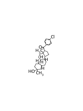 C[C@@]1(O)CC[C@H]2[C@H](CC[C@@H]3[C@@H]2CC[C@]2(C)[C@@H](C(=O)c4ccc(Cl)cc4)CC[C@@H]32)C1